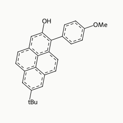 COc1ccc(-c2c(O)cc3ccc4cc(C(C)(C)C)cc5ccc2c3c45)cc1